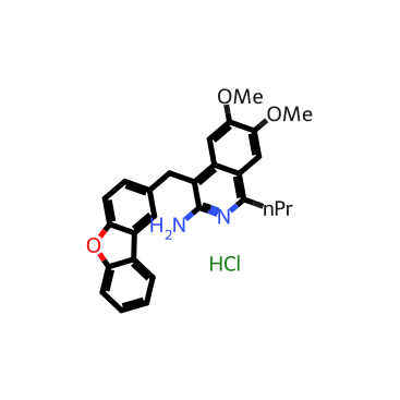 CCCc1nc(N)c(Cc2ccc3oc4ccccc4c3c2)c2cc(OC)c(OC)cc12.Cl